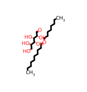 CCCCCCCCCCOCCCCCCCC.O=C[C@H](O)[C@@H](O)[C@H](O)[C@H](O)CO